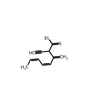 C#CC(C(=C)/C=C\C=C/C)C(=S)CC